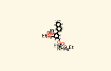 CCOC(=O)C(CC)(NC(C)=O)C(=O)OCc1cc(CP(=O)(OCC)OCC)cc(-c2ccc3ccccc3c2)c1